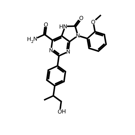 COc1ccccc1-n1c(=O)[nH]c2c(C(N)=O)nc(-c3ccc(C(C)CO)cc3)nc21